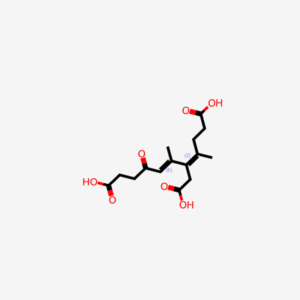 C/C(CCC(=O)O)=C(CC(=O)O)/C(C)=C/C(=O)CCC(=O)O